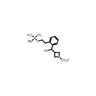 CC(C)(C)[Si](C)(C)OCCc1ccccc1C(O)C1CN(C(=O)O)C1